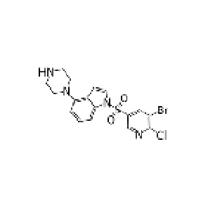 O=S(=O)(c1cnc(Cl)c(Br)c1)n1ccc2c(N3CCNCC3)cccc21